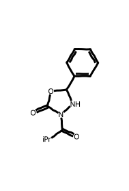 CC(C)C(=O)N1NC(c2ccccc2)OC1=O